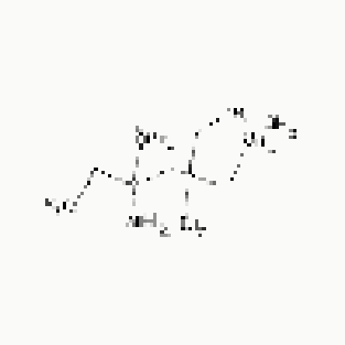 B.CCC(N)(N)C(C)(CC)CC